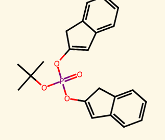 CC(C)(C)OP(=O)(OC1=Cc2ccccc2C1)OC1=Cc2ccccc2C1